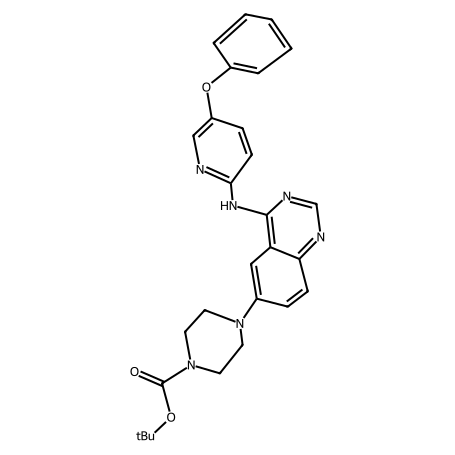 CC(C)(C)OC(=O)N1CCN(c2ccc3ncnc(Nc4ccc(Oc5ccccc5)cn4)c3c2)CC1